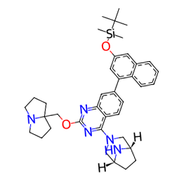 CC(C)(C)[Si](C)(C)Oc1cc(-c2ccc3c(N4C[C@H]5CC[C@@H](C4)N5)nc(OCC45CCCN4CCC5)nc3c2)c2ccccc2c1